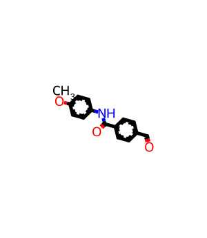 COc1ccc(NC(=O)c2ccc(C=O)cc2)cc1